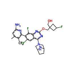 Cc1cc(N)nc(-c2c(Cl)cc3c(N4CC5CCC(C4)N5)nc(OCC4(CO)CC(F)C4)nc3c2F)c1C(F)(F)F